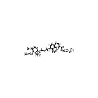 CCCc1c(OCCCOc2ccc(C(C)=O)c(OC)c2CCC)ccc2c1OC(CCC(=O)OCC)CC2